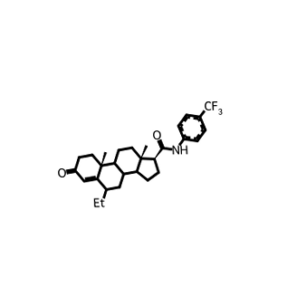 CCC1CC2C(CC[C@@]3(C)C2CC[C@@H]3C(=O)Nc2ccc(C(F)(F)F)cc2)[C@@]2(C)CCC(=O)C=C12